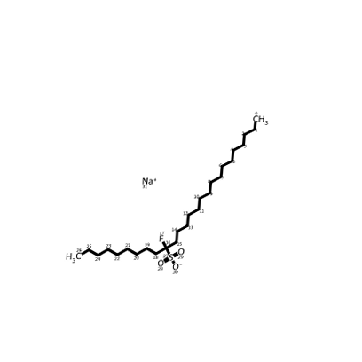 CCCCCCCCCCCCCCCCC(F)(CCCCCCCCC)S(=O)(=O)[O-].[Na+]